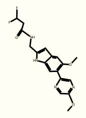 COc1cnc(-c2cc3[nH]c(CNC(=O)CC(F)F)cc3cc2OC)cn1